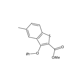 COC(=O)c1sc2ccc(C)cc2c1OC(C)C